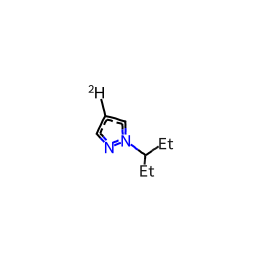 [2H]c1cnn(C(CC)CC)c1